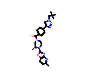 Cc1ccc2oc(N3CCN(C(=O)c4ccc(-c5cn(CC(C)(C)C)nn5)cc4)C[C@@H]3C)nc2n1